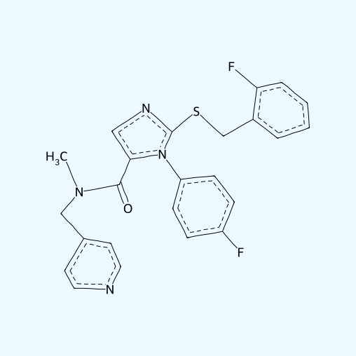 CN(Cc1ccncc1)C(=O)c1cnc(SCc2ccccc2F)n1-c1ccc(F)cc1